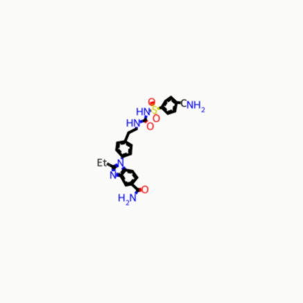 CCc1nc2cc(C(N)=O)ccc2n1-c1ccc(CCNC(=O)NS(=O)(=O)c2ccc(CN)cc2)cc1